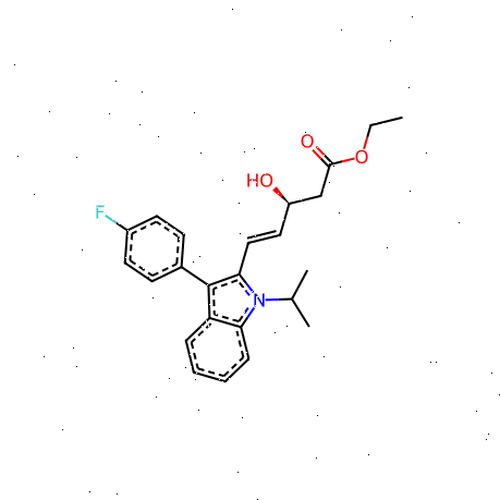 CCOC(=O)C[C@H](O)C=Cc1c(-c2ccc(F)cc2)c2ccccc2n1C(C)C